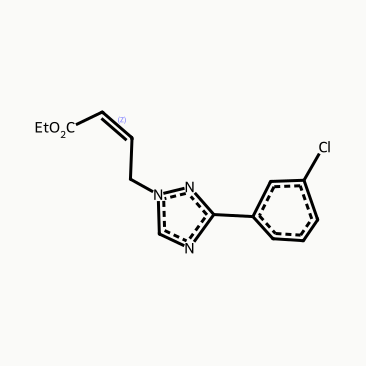 CCOC(=O)/C=C\Cn1cnc(-c2cccc(Cl)c2)n1